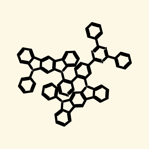 c1ccc(-c2nc(-c3ccccc3)nc(-c3ccc(-c4cnccc4-n4c5ccccc5c5cc6c7ccccc7n(-c7ccccc7)c6cc54)c(-n4c5ccccc5c5cc6c7ccccc7n(-c7ccccc7)c6cc54)c3)n2)cc1